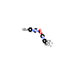 CC(C)(C)c1ccc(N2CCN(C(=O)COC3CCN(c4ccc([N+](=O)[O-])c(C(F)(F)F)c4)CC3)CC2)cc1